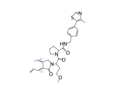 C=C/C=C1/C(=O)N(C(CCOC)C(=O)N2CCCC2C(=O)NCc2ccc(-c3scnc3C)cc2)C/C1=C/C